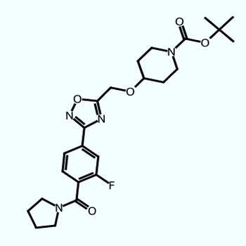 CC(C)(C)OC(=O)N1CCC(OCc2nc(-c3ccc(C(=O)N4CCCC4)c(F)c3)no2)CC1